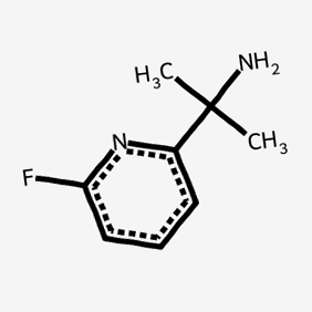 CC(C)(N)c1cccc(F)n1